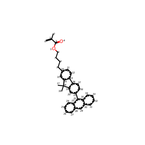 C=C(C)C(=O)OCCCCc1ccc2c(c1)C(C)(C)c1cc(-c3c4ccccc4cc4ccccc34)ccc1-2